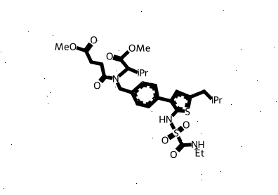 CCNC(=O)S(=O)(=O)Nc1sc(CC(C)C)cc1-c1ccc(CN(C(=O)CCC(=O)OC)C(C(=O)OC)C(C)C)cc1